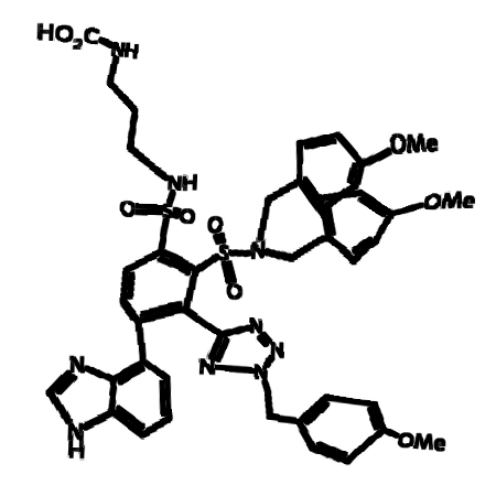 COc1ccc(CN(Cc2ccc(OC)cc2)S(=O)(=O)c2c(S(=O)(=O)NCCCNC(=O)O)ccc(-c3cccc4[nH]cnc34)c2-c2nnn(Cc3ccc(OC)cc3)n2)cc1